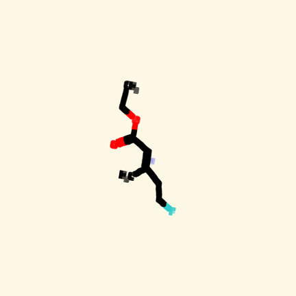 CCOC(=O)/C=C(\C)CCF